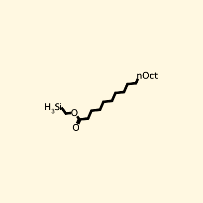 CCCCCCCCCCCCCCCCCC(=O)OC[SiH3]